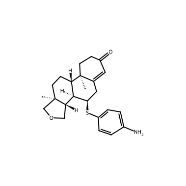 C[C@]12CC[C@H]3[C@@H]([C@H](Sc4ccc(N)cc4)CC4=CC(=O)CC[C@@]43C)[C@@H]1COC2